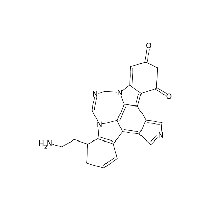 NCCC1CC=Cc2c1n1c3c2c2c(c4c5c(n(c43)CN=C1)=CC(=O)CC5=O)=CN=C2